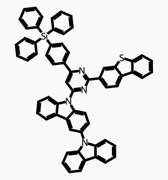 c1ccc([Si](c2ccccc2)(c2ccccc2)c2ccc(-c3cc(-n4c5ccccc5c5cc(-n6c7ccccc7c7ccccc76)ccc54)nc(-c4ccc5c(c4)sc4ccccc45)n3)cc2)cc1